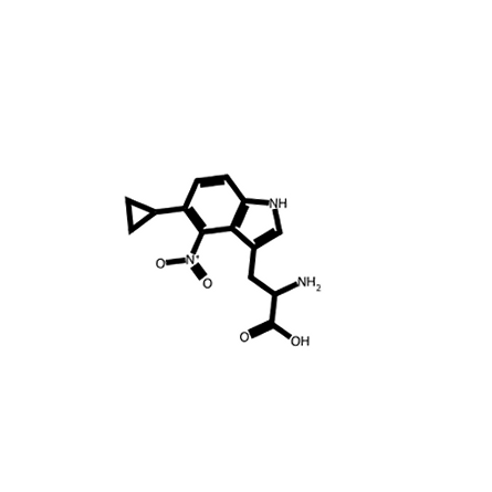 NC(Cc1c[nH]c2ccc(C3CC3)c([N+](=O)[O-])c12)C(=O)O